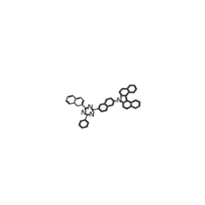 C1=CC2=CC=C(c3nc(-c4ccccc4)nc(-c4ccc5cc(-n6c7ccc8ccccc8c7c7c8ccccc8ccc76)ccc5c4)n3)CC2C=C1